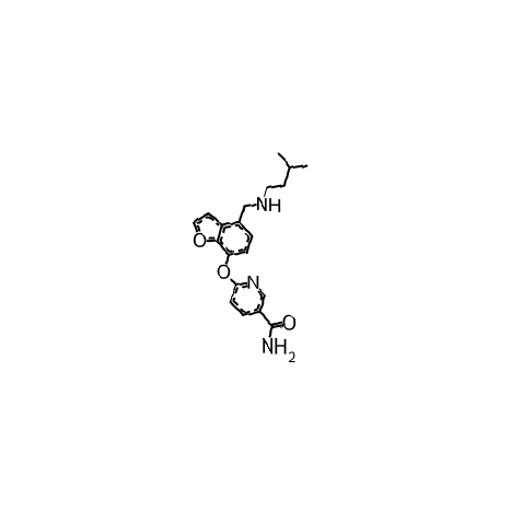 CC(C)CCNCc1ccc(Oc2ccc(C(N)=O)cn2)c2occc12